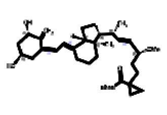 C=C1/C(=C\C=C2/CCC[C@]3(C)[C@@H]([C@H](C)/C=C/[C@@H](CCC4(C(=O)CCCCCCCCC)CC4)OC)CC[C@@H]23)C[C@@H](O)C[C@@H]1O